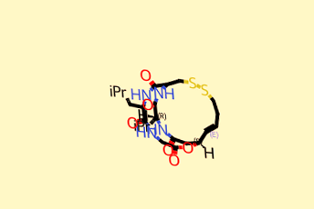 CC(C)CC1NC(=O)C2CSSCC/C=C/[C@H](CC(=O)N[C@H](C(C)C)C(=O)N2)OC(=O)CNC1=O